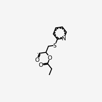 CCC(=O)OC([C]=O)CSc1ccccn1